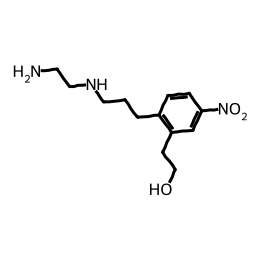 NCCNCCCc1ccc([N+](=O)[O-])cc1CCO